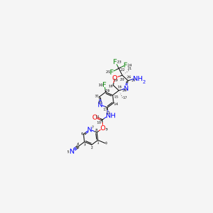 Cc1cc(C#N)cnc1OC(=O)Nc1cc([C@@]2(C)CO[C@@](C)(C(F)(F)F)C(N)=N2)c(F)cn1